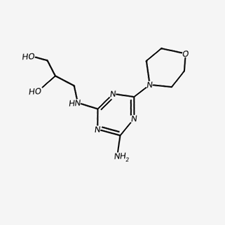 Nc1nc(NCC(O)CO)nc(N2CCOCC2)n1